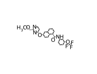 COCc1nccc(Oc2ccc3c(C(=O)Nc4cccc(OC(F)(F)F)c4)cccc3c2)n1